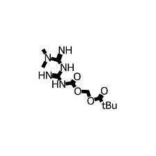 CN(C)C(=N)NC(=N)NC(=O)OCOC(=O)C(C)(C)C